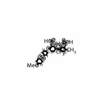 COc1ccc(S(=O)(=O)c2ccc(Oc3ccc(C(c4ccc(C)c(CP(=O)(O)O)c4)(C(F)(F)F)C(F)(F)F)cc3CP(=O)(O)O)cc2)cc1